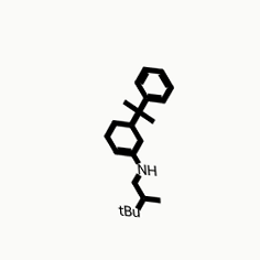 CC(CNC1=CCCC(C(C)(C)c2ccccc2)C1)C(C)(C)C